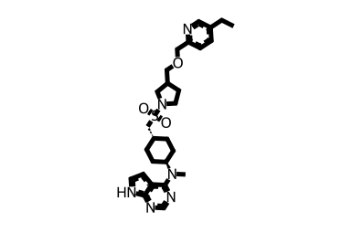 CCc1ccc(COCC2CCN(S(=O)(=O)C[C@H]3CC[C@H](N(C)c4ncnc5[nH]ccc45)CC3)C2)nc1